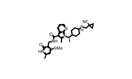 CSc1cc(C)[nH]c(=O)c1CNC(=O)c1c(C)n([C@H](C)C2CCC(NCC3(C#N)CC3)CC2)c2ncccc12